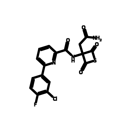 NC(=O)CC1(NC(=O)c2cccc(-c3ccc(F)c(Cl)c3)n2)C(=O)SC1=O